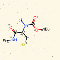 CCCCOC(=O)N(C)[C@@H](CS)C(=O)NCC